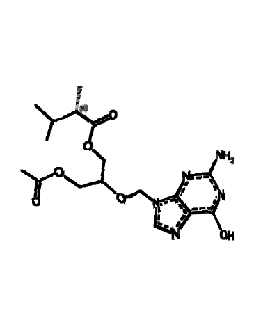 CC(=O)OCC(COC(=O)[C@@H](C)C(C)C)OCn1cnc2c(O)nc(N)nc21